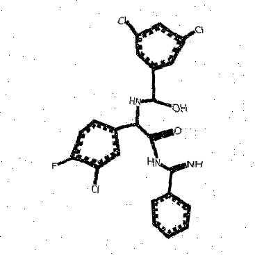 N=C(NC(=O)C(NC(O)c1cc(Cl)cc(Cl)c1)c1ccc(F)c(Cl)c1)c1ccccc1